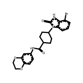 O=C(Nc1ccc2c(c1)OCCO2)C1CCC(n2c(=O)[nH]c3c(Br)cccc32)CC1